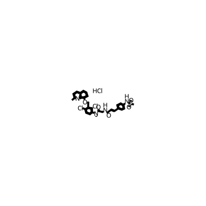 Cc1ccc2cccc(OCc3c(Cl)ccc(N(C)C(=O)CNC(=O)C=Cc4ccc(NS(C)(=O)=O)cc4)c3Cl)c2n1.Cl